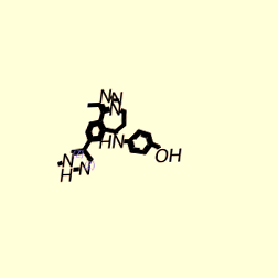 C/N=C\C(=C/NC)c1ccc2c(c1)C(Nc1ccc(CO)cc1)CCn1nnc(C)c1-2